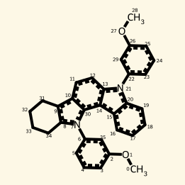 COc1cccc(-n2c3c(c4ccc5c(c6ccccc6n5-c5cccc(OC)c5)c42)CCCC3)c1